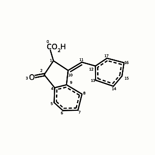 O=C(O)C1C(=O)c2ccccc2C1=Cc1ccccc1